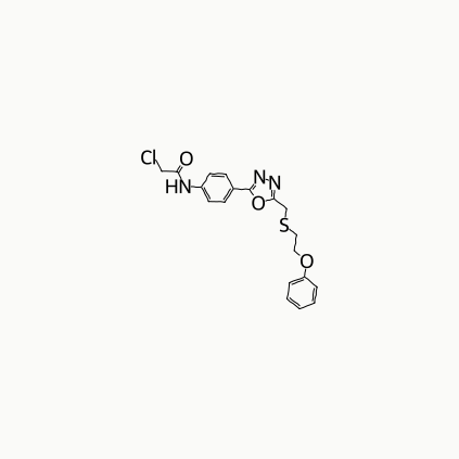 O=C(CCl)Nc1ccc(-c2nnc(CSCCOc3ccccc3)o2)cc1